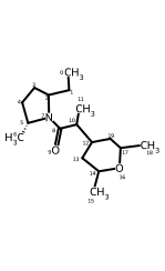 CCC1CC[C@@H](C)N1C(=O)C(C)C1CC(C)OC(C)C1